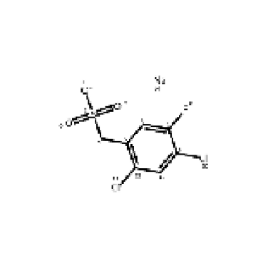 O=S(=O)([O-])Cc1cc(F)c(Cl)cc1Cl.[Na+]